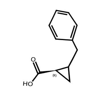 O=C(O)[C@@H]1CC1Cc1ccccc1